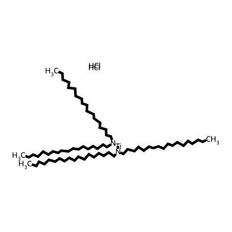 CCCCCCCCCCCCCCCCCC[N](CCCCCCCCCCCCCCCCCC)[Ti][N](CCCCCCCCCCCCCCCCCC)CCCCCCCCCCCCCCCCCC.Cl.Cl